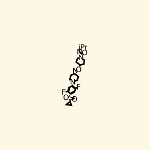 CC(C)OC(=O)N1CCC(ON=C2CCN(c3cc(F)c(S(=O)(=O)C4CC4)cc3F)CC2)CC1